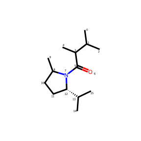 CC(C)C(C)C(=O)N1C(C)CC[C@H]1C(C)C